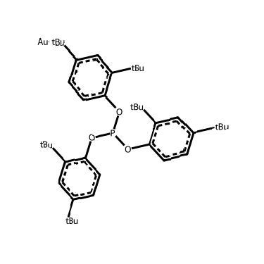 CC(C)(C)c1ccc(OP(Oc2ccc(C(C)(C)C)cc2C(C)(C)C)Oc2ccc(C(C)(C)C)cc2C(C)(C)C)c(C(C)(C)C)c1.[Au]